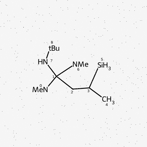 CNC(CC(C)[SiH3])(NC)NC(C)(C)C